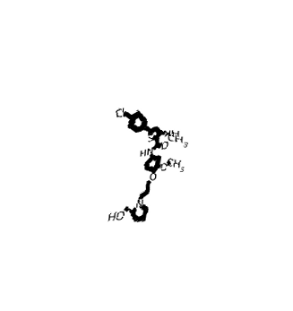 CNc1cc(-c2ccc(Cl)cc2)sc1C(=O)Nc1ccc(OCCCN2CCC[C@H]2CO)c(OC)c1